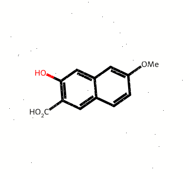 COc1ccc2cc(C(=O)O)c(O)cc2c1